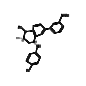 CC(=O)Nc1cccc(-c2ccc3c(c2)[C@H](Nc2ccc(C(C)=O)cc2)C[C@H](C)N3C(C)=O)c1